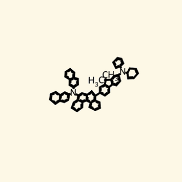 CC1(C)c2cc(-c3cc4cc(N(c5ccc6ccccc6c5)c5ccc6ccccc6c5)c5ccccc5c4c4ccccc34)ccc2-c2ccc(N(c3ccccc3)C3C=CC=CC3)cc21